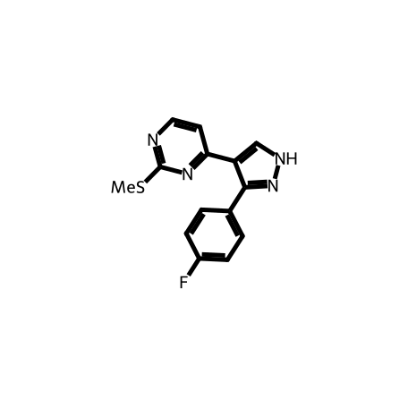 CSc1nccc(-c2c[nH]nc2-c2ccc(F)cc2)n1